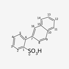 O=S(=O)(O)c1ccccc1-c1ccc2ccccc2c1